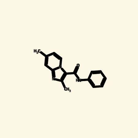 Cc1ccn2c(C(=O)Nc3ccccc3)c(C)nc2c1